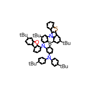 CC(C)(C)c1ccc(N(c2ccc(C(C)(C)C)cc2)c2ccc3c(c2)N(c2cccc4c2oc2cc(C(C)(C)C)ccc24)c2cc(C(C)(C)C)cc4c2B3c2cc(C(C)(C)C)cc3c5sc6ccccc6c5n-4c23)cc1